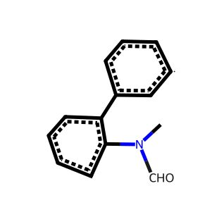 CN(C=O)c1ccccc1-c1c[c]ccc1